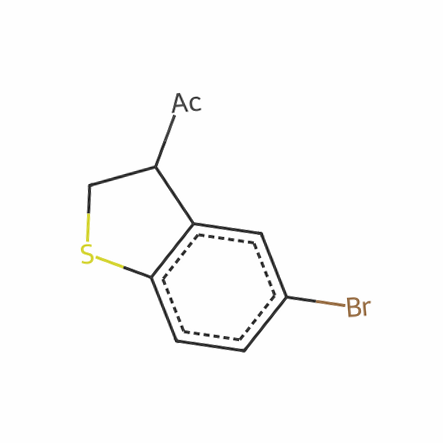 CC(=O)C1CSc2ccc(Br)cc21